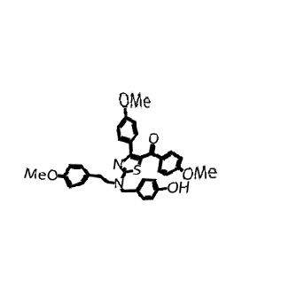 COc1ccc(CCN(Cc2ccc(O)cc2)c2nc(-c3ccc(OC)cc3)c(C(=O)c3ccc(OC)cc3)s2)cc1